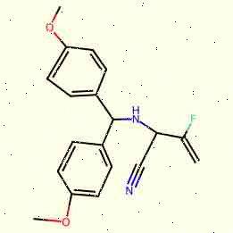 C=C(F)C(C#N)NC(c1ccc(OC)cc1)c1ccc(OC)cc1